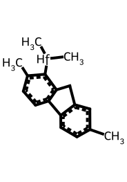 Cc1ccc2c(c1)Cc1c-2ccc(C)[c]1[Hf]([CH3])[CH3]